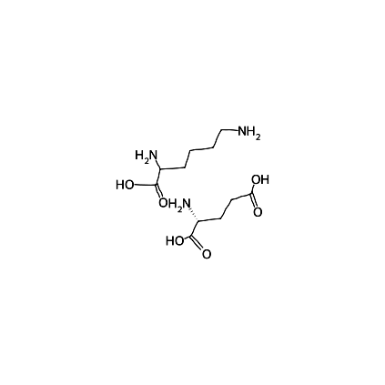 NCCCCC(N)C(=O)O.N[C@H](CCC(=O)O)C(=O)O